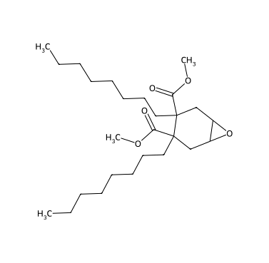 CCCCCCCCC1(C(=O)OC)CC2OC2CC1(CCCCCCCC)C(=O)OC